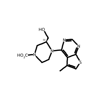 Cc1csc2ncnc(N3CCN(C(=O)O)C[C@H]3CO)c12